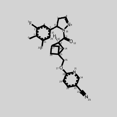 Cc1c(F)cc(C2CC=NN2C(=O)[C@H]2CC3(COc4ccc(C#N)cn4)CC2C3)cc1F